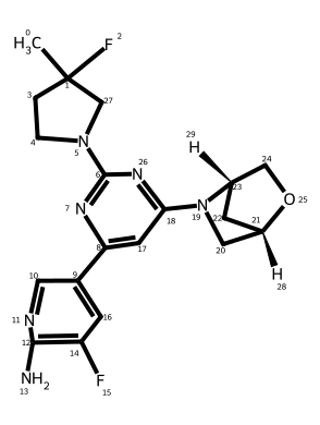 CC1(F)CCN(c2nc(-c3cnc(N)c(F)c3)cc(N3C[C@@H]4C[C@H]3CO4)n2)C1